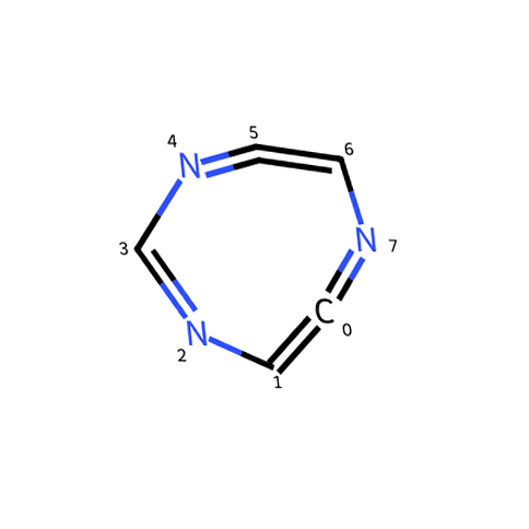 C1=C/N=C\N=C=CN=1